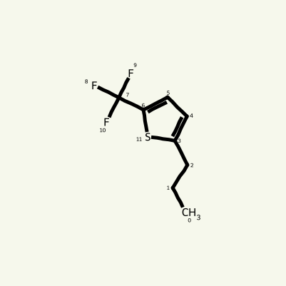 CCCc1ccc(C(F)(F)F)s1